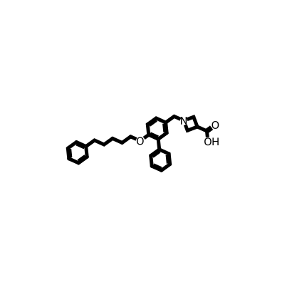 O=C(O)C1CN(Cc2ccc(OCCCCCc3ccccc3)c(-c3ccccc3)c2)C1